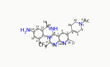 CC(=O)N1CC=C(c2cc3c(N[C@H](C)c4cc(N)cc(C(F)(F)F)c4)nc(C)nc3nc2C)CC1